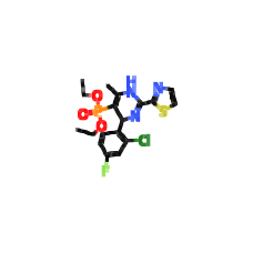 CCOP(=O)(OCC)C1=C(C)NC(c2nccs2)=NC1c1ccc(F)cc1Cl